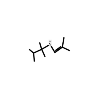 CC(C)=CNC(C)(C)C(C)C